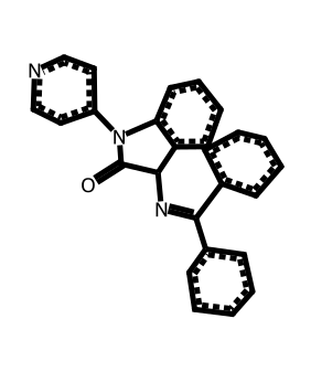 O=C1C(N=C(c2ccccc2)c2ccccc2)c2ccccc2N1c1ccncc1